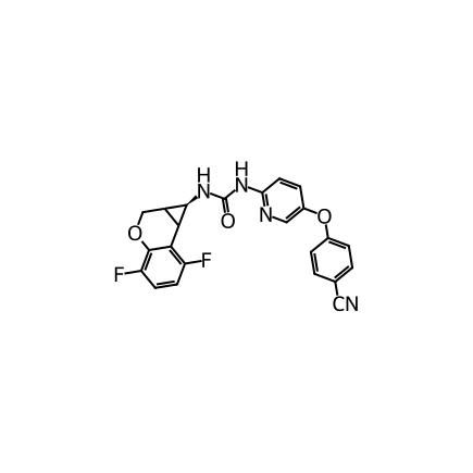 N#Cc1ccc(Oc2ccc(NC(=O)N[C@@H]3C4COc5c(F)ccc(F)c5C43)nc2)cc1